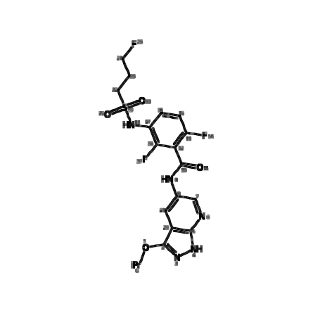 CC(C)Oc1n[nH]c2ncc(NC(=O)c3c(F)ccc(NS(=O)(=O)CCCF)c3F)cc12